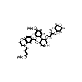 COCCCN1CCOc2ccc(CO[C@H]3CNC[C@@H](OCC(=O)NC4CCOCC4)[C@@H]3c3ccc(OC)cc3)cc21